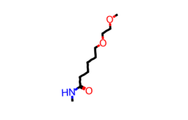 CNC(=O)CCCCCOCCOC